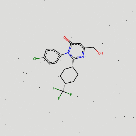 O=c1cc(CO)nc([C@H]2CC[C@@H](C(F)(F)F)CC2)n1-c1ccc(Cl)cc1